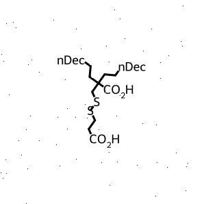 CCCCCCCCCCCCC(CCCCCCCCCCCC)(CSSCCC(=O)O)C(=O)O